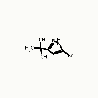 CC(C)(C)c1cc(Br)[nH]n1